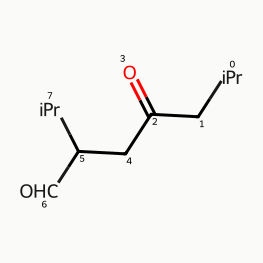 CC(C)CC(=O)CC(C=O)C(C)C